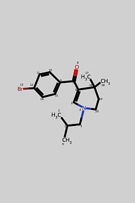 CC(C)CN1C=C(C(=O)c2ccc(Br)cc2)C(C)(C)CC1